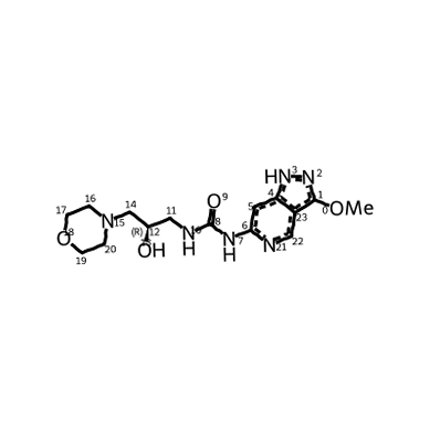 COc1n[nH]c2cc(NC(=O)NC[C@@H](O)CN3CCOCC3)ncc12